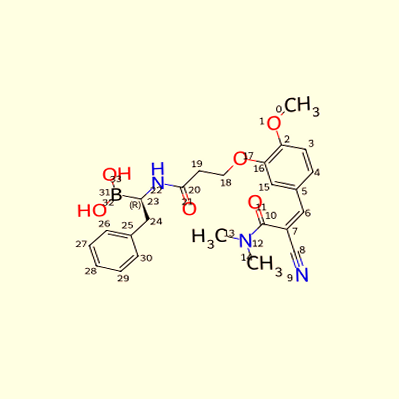 COc1ccc(C=C(C#N)C(=O)N(C)C)cc1OCCC(=O)N[C@@H](Cc1ccccc1)B(O)O